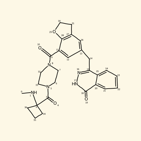 CNC1(C(=O)N2CCN(C(=O)c3cc(Cc4n[nH]c(=O)c5ccccc45)cc4c3OCC4)CC2)CCC1